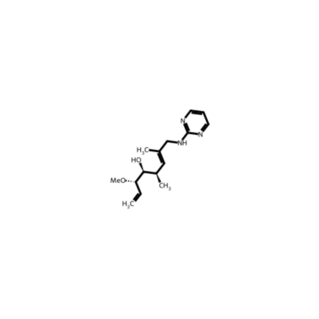 C=C[C@H](OC)[C@@H](O)[C@H](C)C=C(C)CNc1ncccn1